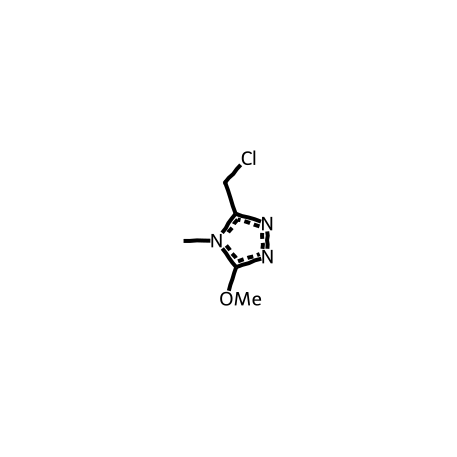 COc1nnc(CCl)n1C